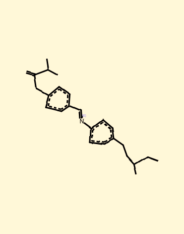 C=C(Cc1ccc(/C=N/c2ccc(CCC(C)CC)cc2)cc1)C(C)C